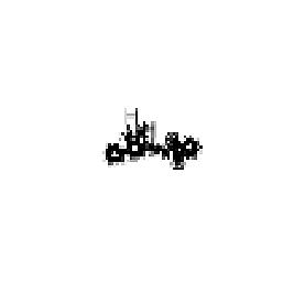 O=C1NCc2c(-c3ccccc3)ccc(NCCCN3C(=O)c4ccccc4C3=O)c21